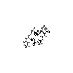 C[C@@H](CCCCCc1ccccc1)[C@H](O)CC[C@H]1CC(F)(F)C(=O)N1CCCc1ccc(C(=O)O)s1